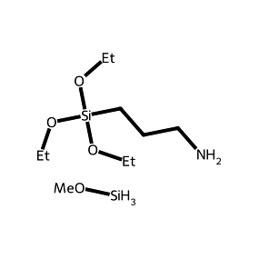 CCO[Si](CCCN)(OCC)OCC.CO[SiH3]